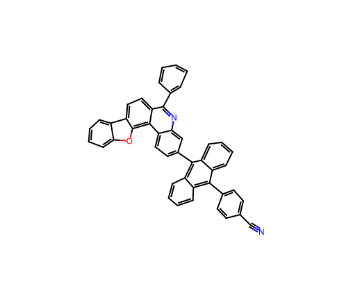 N#Cc1ccc(-c2c3ccccc3c(-c3ccc4c(c3)nc(-c3ccccc3)c3ccc5c6ccccc6oc5c34)c3ccccc23)cc1